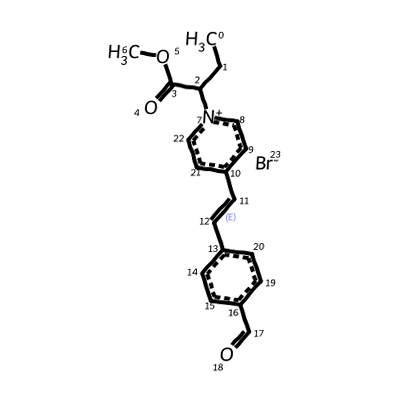 CCC(C(=O)OC)[n+]1ccc(/C=C/c2ccc(C=O)cc2)cc1.[Br-]